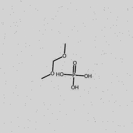 COCOC.O=P(O)(O)O